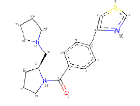 O=C(c1ccc(-c2cscn2)cc1)N1CCC[C@H]1CN1CCCC1